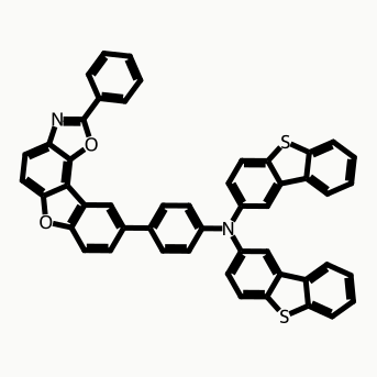 c1ccc(-c2nc3ccc4oc5ccc(-c6ccc(N(c7ccc8sc9ccccc9c8c7)c7ccc8sc9ccccc9c8c7)cc6)cc5c4c3o2)cc1